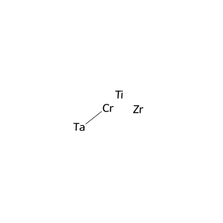 [Cr][Ta].[Ti].[Zr]